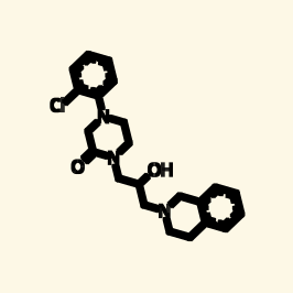 O=C1CN(c2ccccc2Cl)CCN1CC(O)CN1CCc2ccccc2C1